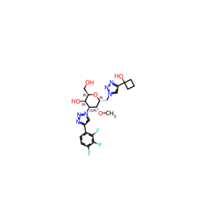 CO[C@@H]1[C@@H](n2cc(-c3ccc(F)c(F)c3F)nn2)[C@@H](O)[C@@H](CO)O[C@@H]1Cn1cc(C2(O)CCC2)nn1